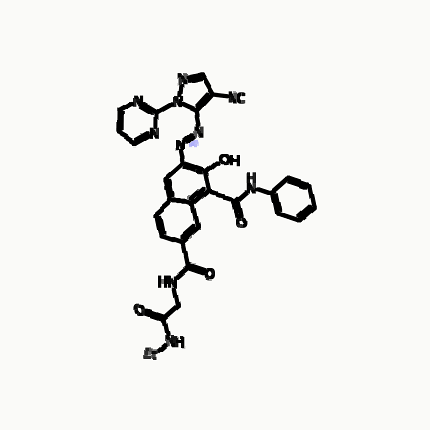 [C-]#[N+]c1cnn(-c2ncccn2)c1/N=N/c1cc2ccc(C(=O)NCC(=O)NCC)cc2c(C(=O)Nc2ccccc2)c1O